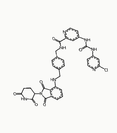 O=C1CCC(N2C(=O)c3cccc(NCc4ccc(CNC(=O)c5cc(NC(=O)Nc6ccnc(Cl)c6)ccn5)cc4)c3C2=O)C(=O)N1